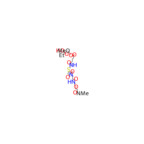 CCC(CO)OC(COC(=O)CCCC(=O)NCCSC1CC(=O)N(CCC(=O)NCCOCCC(=O)NC)C1=O)OC